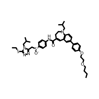 CCCCOCCOc1ccc(-c2ccc3c(c2)C=C(C(=O)Nc2ccc([S+]([O-])Cc4nnc(SCC)n4CC(C)C)cc2)CCN3CC(C)C)cc1